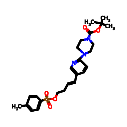 Cc1ccc(S(=O)(=O)OCCC=Cc2ccc(N3CCN(C(=O)OC(C)(C)C)CC3)nc2)cc1